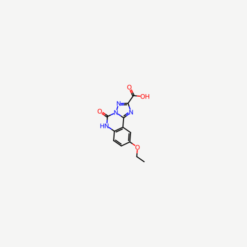 CCOc1ccc2[nH]c(=O)n3nc(C(=O)O)nc3c2c1